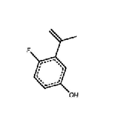 C=C(C)c1cc(O)ccc1F